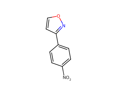 O=[N+]([O-])c1ccc(-c2ccon2)cc1